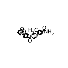 Cc1cc(C(N)=O)ccc1N1CCN(C(=O)c2ccc(N3CCCS3(=O)=O)cc2)CC1